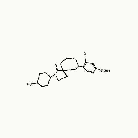 N#Cc1ccc(N2CCCC3(CCN(C4CCC(O)CC4)C3=O)C2)c(Br)c1